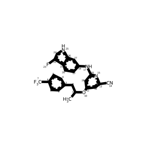 CC(Cc1ccc(C(F)(F)F)cc1)Oc1cc(C#N)nc(Nc2ccc3c(F)c[nH]c3c2)c1